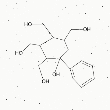 OCC1CC(O)(c2ccccc2)C(CO)C(CO)C1CO